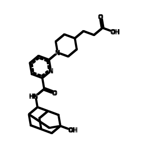 O=C(O)CCC1CCN(c2cccc(C(=O)NC3C4CC5CC3CC(O)(C5)C4)n2)CC1